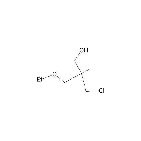 CCOCC(C)(CO)CCl